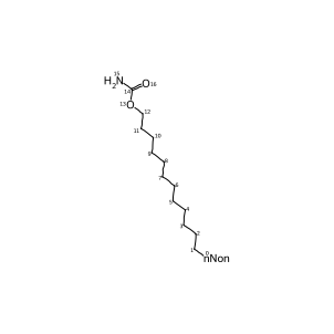 CCCCCCCCCCCCCCCCCCCCCOC(N)=O